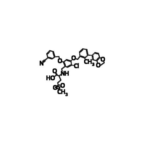 Cc1c(COc2cc(OCc3cccc(C#N)c3)c(CNC(CCS(C)(=O)=O)C(=O)O)cc2Cl)cccc1-c1ccc2c(c1)OCCO2